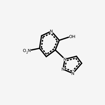 O=[N+]([O-])c1cnc(O)c(-n2ccnn2)c1